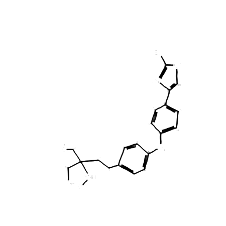 CCc1nc(-c2ccc(Oc3ccc(CCC(CO)(CO)NCl)cc3)cc2)co1